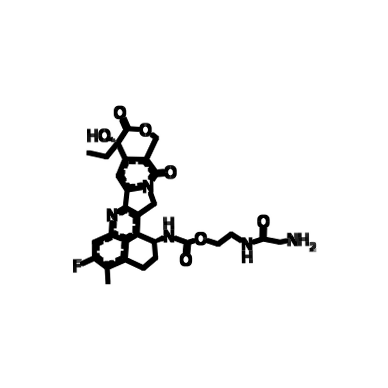 CC[C@@]1(O)C(=O)OCc2c1cc1n(c2=O)Cc2c-1nc1cc(F)c(C)c3c1c2[C@@H](NC(=O)OCCNC(=O)CN)CC3